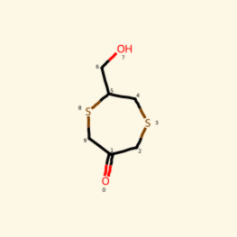 O=C1CSCC(CO)SC1